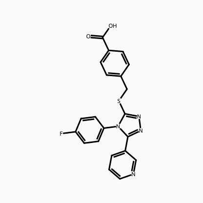 O=C(O)c1ccc(CSc2nnc(-c3cccnc3)n2-c2ccc(F)cc2)cc1